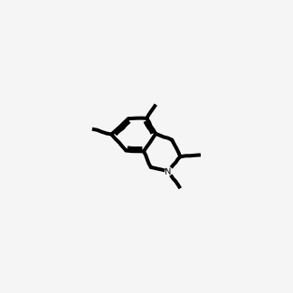 Cc1cc(C)c2c(c1)CN(C)C(C)C2